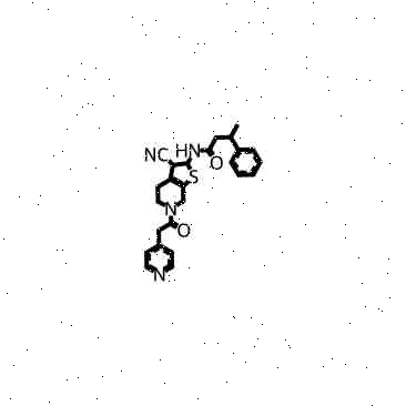 CC(CC(=O)NC1SC2=C(CCN(C(=O)Cc3ccncc3)C2)C1C#N)c1ccccc1